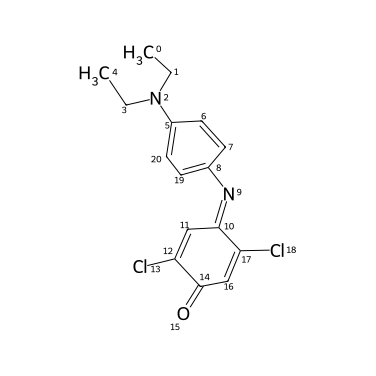 CCN(CC)c1ccc(N=C2C=C(Cl)C(=O)C=C2Cl)cc1